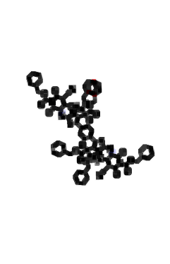 CC1=C(C#N)C(=O)N(C(=O)OCc2ccccc2)C(=O)/C1=N/c1nc2c(s1)-c1cc3c(cc1OC2(C(=O)OCc1ccccc1)C(=O)OCc1ccccc1)-c1sc(/N=C2/C(=O)N(C(=O)OCc4ccccc4)C(=O)C(C#N)=C2C)nc1C(C(=O)OCc1ccccc1)(C(=O)OCc1ccccc1)O3